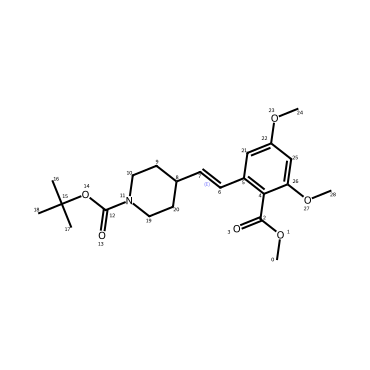 COC(=O)c1c(/C=C/C2CCN(C(=O)OC(C)(C)C)CC2)cc(OC)cc1OC